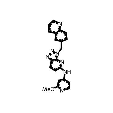 COc1cc(Nc2ccc3nnn(Cc4ccc5ncccc5c4)c3n2)ccn1